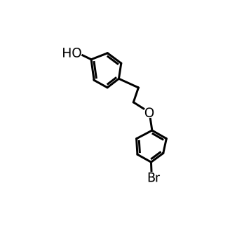 Oc1ccc(CCOc2ccc(Br)cc2)cc1